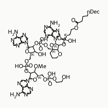 CCCCCCCCCCCCCC(=O)OCCSP(=O)(O)OC1C2OCCC[C@]2(COP(=O)(O)OC2C(O)[C@@H](COP(=O)(O)OC3C(OC)[C@@H](COP(=O)(O)OCCO)O[C@H]3n3cnc4c(N)ncnc43)O[C@H]2n2cnc3c(N)ncnc32)O[C@H]1n1cnc2c(N)ncnc21